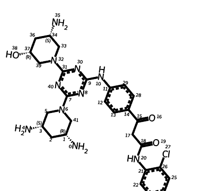 N[C@@H]1C[C@H](N)CN(c2nc(Nc3ccc(C(=O)CC(=O)Nc4ccccc4Cl)cc3)nc(N3C[C@@H](N)C[C@@H](O)C3)n2)C1